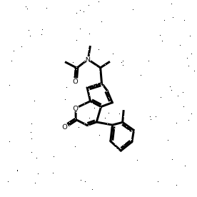 CC(=O)N(C)C(C)c1ccc2c(-c3ccccc3C)cc(=O)oc2c1